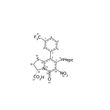 CCCCCCCc1c(-c2cccc(C(F)(F)F)c2)c2n(c(=O)c1[N+](=O)[O-])[C@H](C(=O)O)CS2